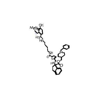 CNc1c(O)ccc([C@@H](O)CNCCCCNC(=O)c2ccc(CNC3(C(=O)OCC4CCN(Cc5ccccc5)CC4)CCc4ccccc43)s2)c1/C=C\C=O